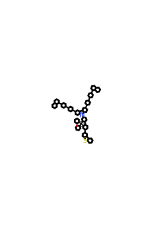 c1ccc([Si]2(c3ccccc3)c3cc(-c4ccc5sc6ccccc6c5c4)ccc3-c3ccc(-n4c5ccc(-c6ccc(-c7ccc(-c8cccc9ccccc89)cc7)cc6)cc5c5cc(-c6ccc(-c7ccc(-c8cccc9ccccc89)cc7)cc6)ccc54)cc32)cc1